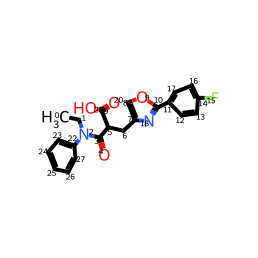 CCN(C(=O)C(Cc1coc(-c2ccc(F)cc2)n1)C(=O)O)c1ccccc1